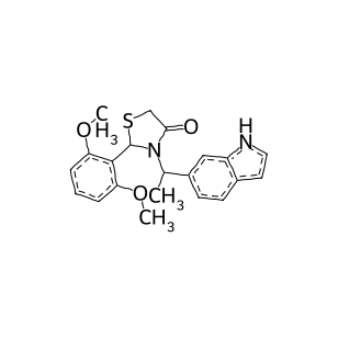 COc1cccc(OC)c1C1SCC(=O)N1C(C)c1ccc2cc[nH]c2c1